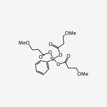 COCCC(=O)O[Si](OC(=O)CCOC)(OC(=O)CCOC)c1ccccc1